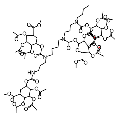 CCCCN(CCCN(CCCCN(CCCNC(=O)OC1CC(C(=O)OC)C(OC(C)=O)C(OC(C)=O)C1OC(C)=O)C(=O)OC1CC(C(=O)OC)C(OC(C)=O)C(OC(C)=O)C1OC(C)=O)C(=O)OC1OC(C(=O)OC)C(OC(C)=O)C(OC(C)=O)C1OC(C)=O)C(=O)OC1OC(C(=O)OC)C(OC(C)=O)C(OC(C)=O)C1OC(C)=O